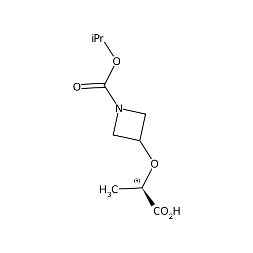 CC(C)OC(=O)N1CC(O[C@H](C)C(=O)O)C1